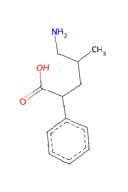 CC(CN)CC(C(=O)O)c1ccccc1